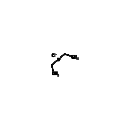 CC[B+]CC.[Cl-]